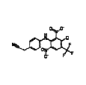 N#CCc1ccc(Nc2c([N+](=O)[O-])cc(C(F)(F)F)c(Cl)c2[N+](=O)[O-])cc1